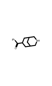 CC(C)C(=O)C1CC2CNCC(C2)C1